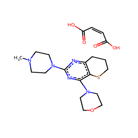 CN1CCN(c2nc3c(c(N4CCOCC4)n2)SCCC3)CC1.O=C(O)/C=C\C(=O)O